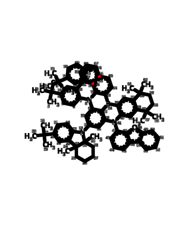 CC(C)(C)c1ccc(N2c3cc(N4c5ccc(C(C)(C)C)cc5C5(C)CCCCC45C)cc4c3B(c3cc5c(cc3N4c3cccc4c3oc3ccccc34)C(C)(C)CCC5(C)C)c3ccc4oc5ccc(C(C)(C)C)cc5c4c32)c(-c2ccccc2)c1